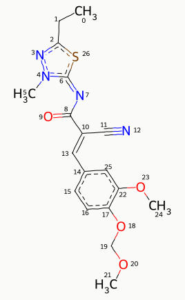 CCc1nn(C)/c(=N\C(=O)/C(C#N)=C/c2ccc(OCOC)c(OC)c2)s1